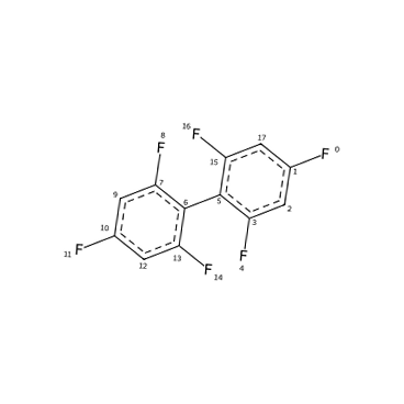 Fc1cc(F)c(-c2c(F)cc(F)cc2F)c(F)c1